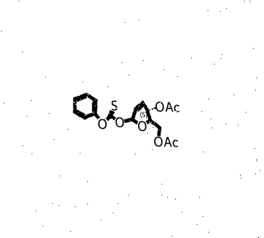 CC(=O)OCC1OC(OC(=S)Oc2ccccc2)C=C[C@@H]1OC(C)=O